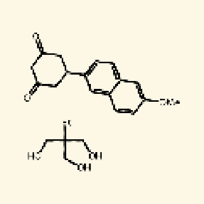 CCC(CO)(CO)CO.COc1ccc2cc(C3CC(=O)CC(=O)C3)ccc2c1